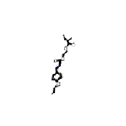 CCCOc1ccc(/C=C/C(=O)OCCOC(=O)C(C)CC)cc1